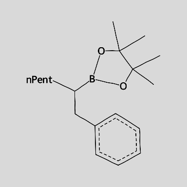 CCCCCC(Cc1ccccc1)B1OC(C)(C)C(C)(C)O1